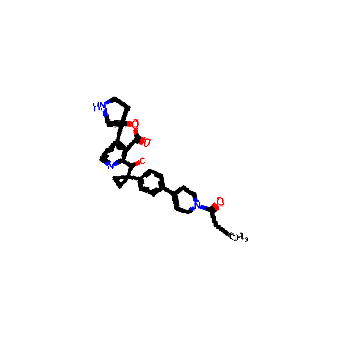 CCC(=O)N1CC=C(c2ccc(C3(C(=O)c4nccc5c4C(=O)OC54CCNC4)CC3)cc2)CC1